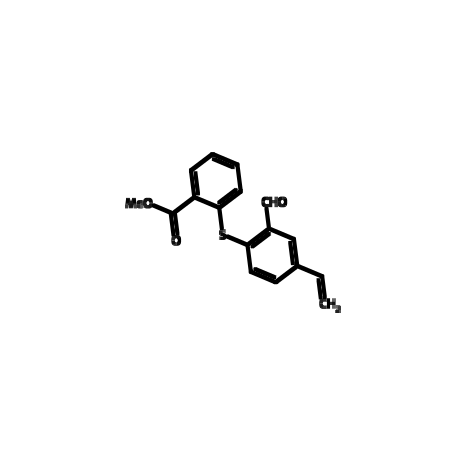 C=Cc1ccc(Sc2ccccc2C(=O)OC)c(C=O)c1